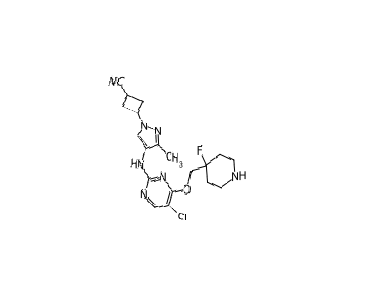 Cc1nn(C2CC(C#N)C2)cc1Nc1ncc(Cl)c(OCC2(F)CCNCC2)n1